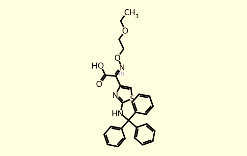 CCOCCO/N=C(\C(=O)O)c1csc(NC(c2ccccc2)(c2ccccc2)c2ccccc2)n1